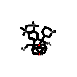 C[Si](C)(C)c1cc(C(P)(C2CCCNC2)C2CCCNC2)c(C2(CP)C3CC4CC(C3)CC2C4)cc1[Si](C)(C)C